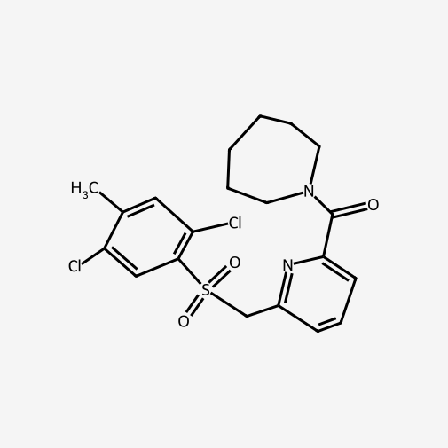 Cc1cc(Cl)c(S(=O)(=O)Cc2cccc(C(=O)N3CCCCCC3)n2)cc1Cl